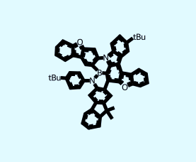 CC(C)(C)c1ccc(N2B3c4cc5c(cc4-n4c6ccc(C(C)(C)C)cc6c6c7c(oc8ccccc87)c(c3c64)-c3cc4c(cc32)-c2ccccc2C4(C)C)oc2ccccc25)cc1